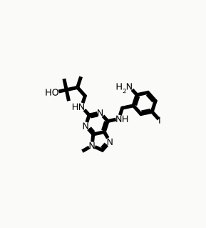 CC(CNc1nc(NCc2cc(I)ccc2N)c2ncn(C)c2n1)C(C)(C)O